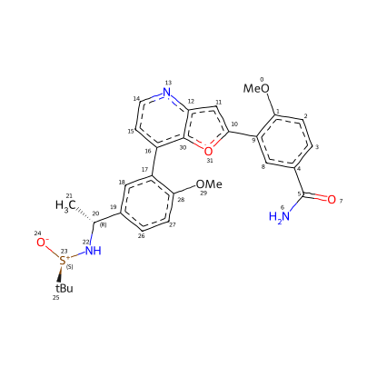 COc1ccc(C(N)=O)cc1-c1cc2nccc(-c3cc([C@@H](C)N[S@+]([O-])C(C)(C)C)ccc3OC)c2o1